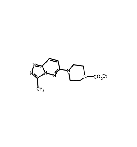 CCOC(=O)N1CCN(c2ccc3nnc(C(F)(F)F)n3n2)CC1